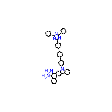 Nc1c(N)c2cc3c(cc2c2ccccc12)c1ccccc1n3-c1ccc(-c2ccc(-c3ccc(-c4nc(-c5ccccc5)nc(-c5ccccc5)n4)cc3)cc2)cc1